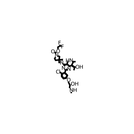 CNC[C@@H](O)COc1ccc(Cl)c(-c2nc(/C(C(C)=N)=C(\C)O)c(C)c(N3CC4(CCN(C(=O)OCC(F)F)C4)C3)n2)c1